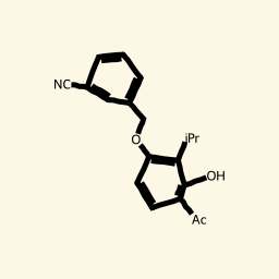 CC(=O)c1ccc(OCc2cccc(C#N)c2)c(C(C)C)c1O